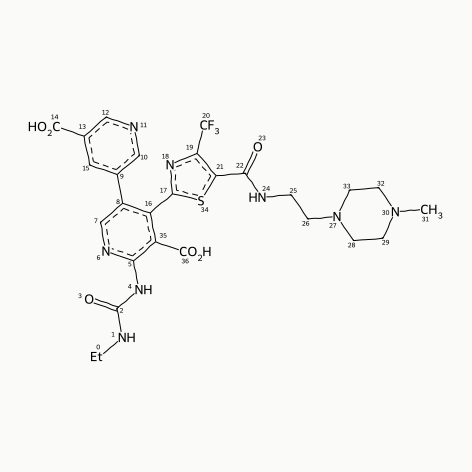 CCNC(=O)Nc1ncc(-c2cncc(C(=O)O)c2)c(-c2nc(C(F)(F)F)c(C(=O)NCCN3CCN(C)CC3)s2)c1C(=O)O